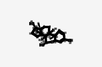 C[C@]12CC[C@H]3[C@@H]([C@@H](O)CC4C=C(O)C=C[C@@]43C)[C@@H]1CC[C@@H]2O